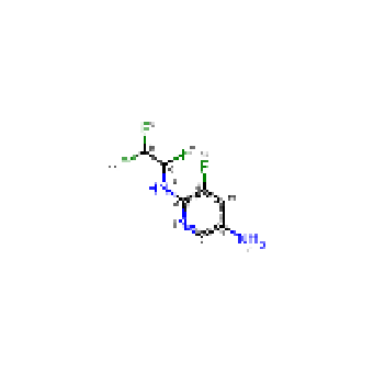 Nc1cnc(NC(F)C(F)F)c(F)c1